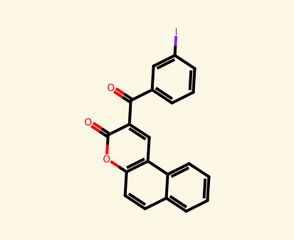 O=C(c1cccc(I)c1)c1cc2c(ccc3ccccc32)oc1=O